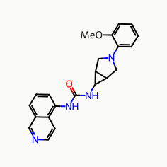 COc1ccccc1N1CC2C(C1)C2NC(=O)Nc1cccc2cnccc12